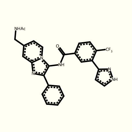 CC(=O)NCc1ccn2c(NC(=O)c3ccc(C(F)(F)F)c(-c4cc[nH]n4)c3)c(-c3ccccc3)nc2c1